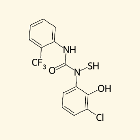 O=C(Nc1ccccc1C(F)(F)F)N(S)c1cccc(Cl)c1O